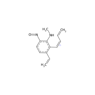 C=C/C=C\c1c(C=C)ccc(N=O)c1NC